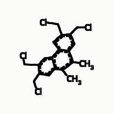 Cc1c(C)c2cc(CCl)c(CCl)cc2c2cc(CCl)c(CCl)cc12